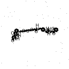 O=C(CCOCCOCCOCCNc1cccc2c1C(=O)N(C1CCC(=O)NC1=O)C2=O)NCCc1ccc(N2C[C@@H]3C[C@H]2CN3/C=C/C(=O)c2ccccc2O)cc1